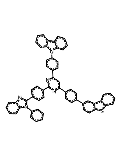 c1ccc(-n2c(-c3ccc(-c4nc(-c5ccc(-c6ccc7sc8ccccc8c7c6)cc5)cc(-c5ccc(-n6c7ccccc7c7ccccc76)cc5)n4)cc3)nc3ccccc32)cc1